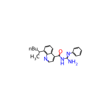 CCCCC(C)c1cccc2c(C(=O)NC(N)=Nc3ccccc3)ccnc12